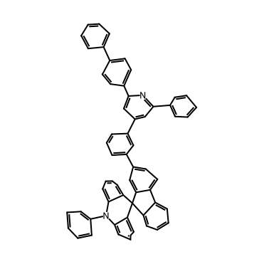 c1ccc(-c2ccc(-c3cc(-c4cccc(-c5ccc6c(c5)C5(c7ccccc7-6)c6ccccc6N(c6ccccc6)c6ccccc65)c4)cc(-c4ccccc4)n3)cc2)cc1